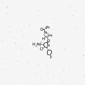 CC(C)C(=O)N1C[C@@H]2[C@H](C1)[C@H]2Oc1cc(C(C)(C)N)c(Cl)c(-c2ccc(F)cc2)n1